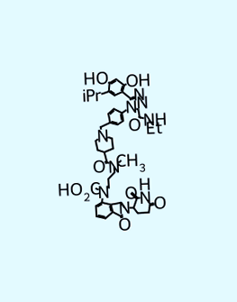 CCNC(=O)c1nnc(-c2cc(C(C)C)c(O)cc2O)n1-c1ccc(CN2CCC(C(=O)N(C)CCCN(C(=O)O)c3cccc4c3CN(C3CCC(=O)NC3=O)C4=O)CC2)cc1